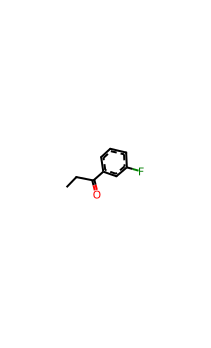 CCC(=O)c1cccc(F)c1